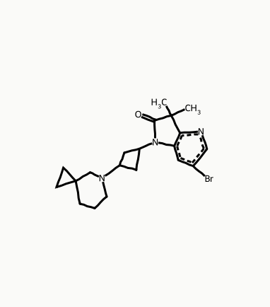 CC1(C)C(=O)N(C2CC(N3CCCC4(CC4)C3)C2)c2cc(Br)cnc21